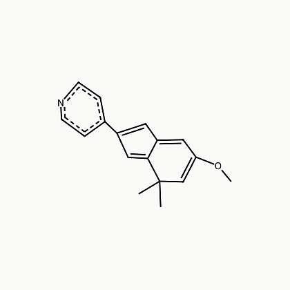 COC1=CC(C)(C)C2=CC(c3ccncc3)=CC2=C1